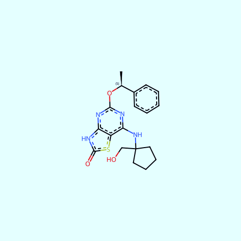 C[C@H](Oc1nc(NC2(CO)CCCC2)c2sc(=O)[nH]c2n1)c1ccccc1